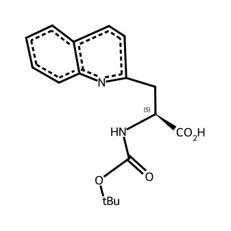 CC(C)(C)OC(=O)N[C@@H](Cc1ccc2ccccc2n1)C(=O)O